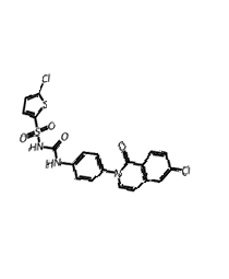 O=C(Nc1ccc(-n2ccc3cc(Cl)ccc3c2=O)cc1)NS(=O)(=O)c1ccc(Cl)s1